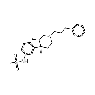 C[C@H]1CN(CCCc2ccccc2)CC[C@]1(C)c1cccc(NS(C)(=O)=O)c1